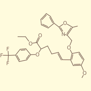 CCOC(=O)C(CC/C=C/c1cc(OC)ccc1OCc1nc(-c2ccccc2)oc1C)Oc1ccc(C(F)(F)F)cc1